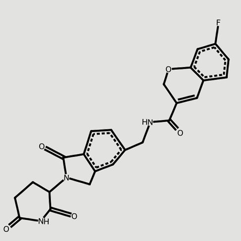 O=C1CCC(N2Cc3cc(CNC(=O)C4=Cc5ccc(F)cc5OC4)ccc3C2=O)C(=O)N1